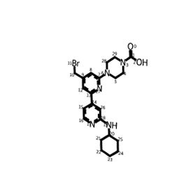 O=C(O)N1CCN(c2cc(CBr)cc(-c3ccnc(NC4CCCCC4)c3)n2)CC1